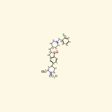 CC(C)(C)C1CC(c2ccc3c(c2)CC(CC2CCN(Cc4ccccc4F)CC2)C3=O)CCN1C(=O)O